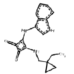 CCC1(CNc2c(Nc3c[nH]c4ccccc34)c(=O)c2=O)CC1